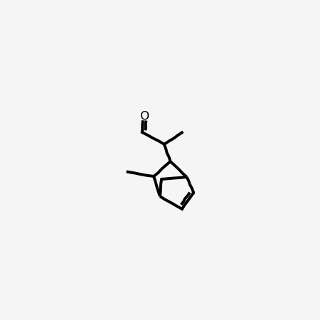 CC(C=O)C1C2C=CC(C2)C1C